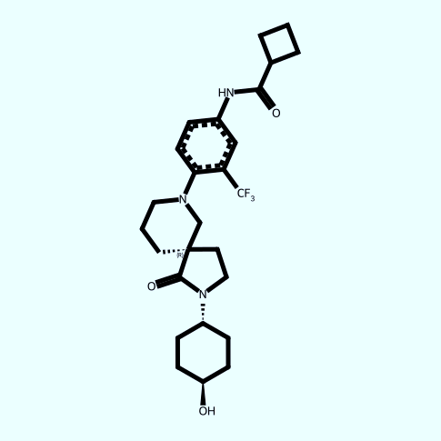 O=C(Nc1ccc(N2CCC[C@@]3(CCN([C@H]4CC[C@H](O)CC4)C3=O)C2)c(C(F)(F)F)c1)C1CCC1